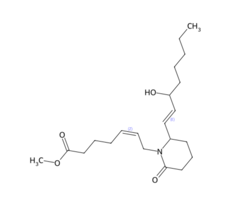 CCCCCC(O)/C=C/C1CCCC(=O)N1C/C=C\CCCC(=O)OC